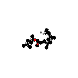 CC1(C)c2ccccc2-c2ccc(-c3nc(-c4cccc5c4sc4cccc(-c6nc(-c7ccccc7)nc(-c7cccc(-c8ccc9c(c8)c8ccc(-c%10nc(-c%11cccc%12c%11sc%11cccc(-c%13nc(-c%14ccccc%14)nc(-c%14ccccc%14)n%13)c%11%12)c%11oc%12ccccc%12c%11n%10)cc8n9-c8ccccc8)c7)n6)c45)c4oc5ccccc5c4n3)cc21